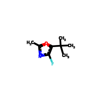 Cc1nc(F)c(C(C)(C)C)o1